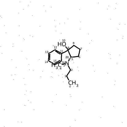 CCCN(C)[C@@H]1CCCC1(O)c1ccccc1